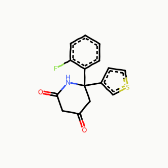 O=C1CC(=O)NC(c2ccsc2)(c2ccccc2F)C1